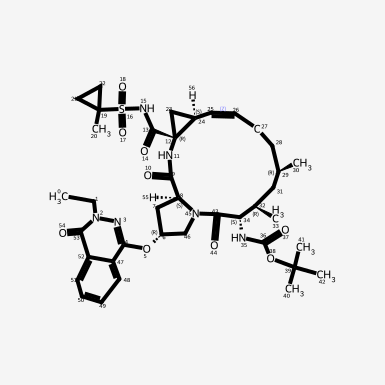 CCn1nc(O[C@@H]2C[C@H]3C(=O)N[C@]4(C(=O)NS(=O)(=O)C5(C)CC5)C[C@H]4/C=C\CC[C@@H](C)C[C@@H](C)[C@H](NC(=O)OC(C)(C)C)C(=O)N3C2)c2ccccc2c1=O